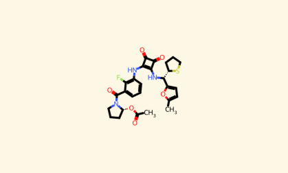 CC(=O)O[C@@H]1CCCN1C(=O)c1cccc(Nc2c(NC(c3ccc(C)o3)[C@@H]3CCCS3)c(=O)c2=O)c1F